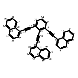 C(#Cc1cccc2ccccc12)c1cccc(C#Cc2cccc3ccccc23)c1C#Cc1cccc2ccccc12